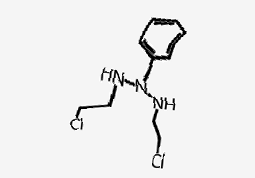 ClCCNN(NCCCl)c1ccccc1